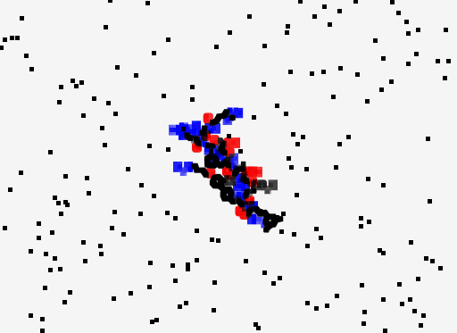 CCc1cc(OCCCCN)ccc1-c1ccc(C[C@H](NC(=O)[C@H](CC(=O)O)NC(=O)[C@H](CO)NC(=O)[C@@H](NC(=O)[C@](C)(Cc2ccccc2F)NC(=O)[C@@H](NC(=O)CNC(=O)[C@H](Cc2nn[nH]n2)NC(=O)CNC(=O)CCc2c[nH]cn2)[C@@H](C)O)[C@@H](C)O)C(=O)N[C@@H](CCCc2cc(C)cc(C)c2)C(N)=O)cc1